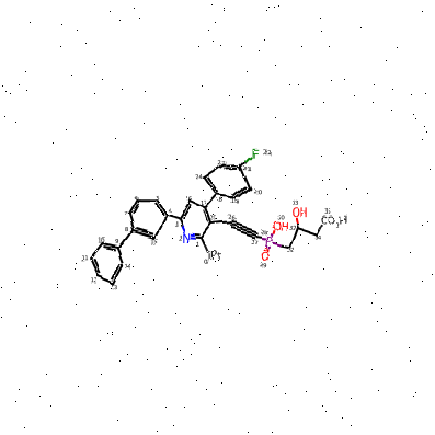 CC(C)c1nc(-c2cccc(-c3ccccc3)c2)cc(-c2ccc(F)cc2)c1C#CP(=O)(O)CC(O)CC(=O)O